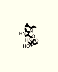 C=C1NC=C(C(=O)NC2(C(C)(C)O)CCOC2)/C1=N/C(=C\C)C1CC1